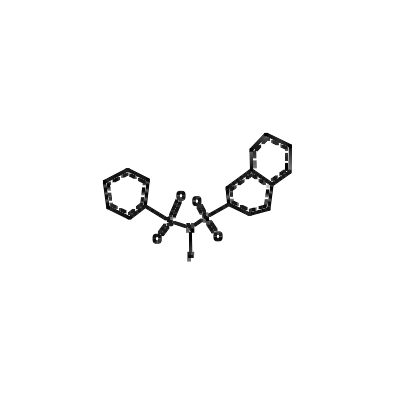 O=S(=O)(c1ccccc1)N(F)S(=O)(=O)c1ccc2ccccc2c1